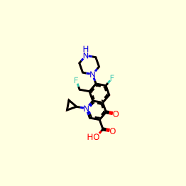 O=C(O)c1cn(C2CC2)c2c(CF)c(N3CCNCC3)c(F)cc2c1=O